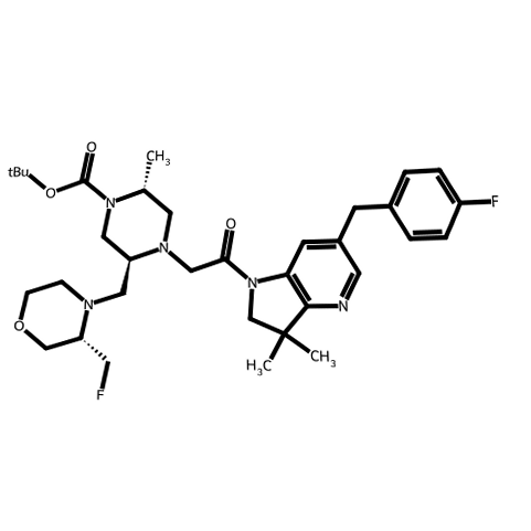 C[C@@H]1CN(CC(=O)N2CC(C)(C)c3ncc(Cc4ccc(F)cc4)cc32)[C@@H](CN2CCOC[C@H]2CF)CN1C(=O)OC(C)(C)C